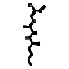 C=N/C(Cl)=C\N=C(/C)NNC(=O)COCC